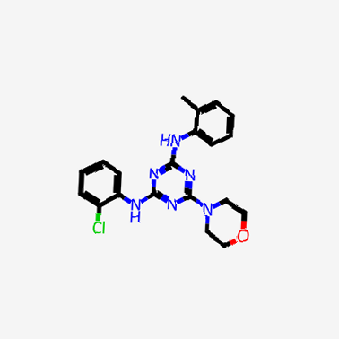 Cc1ccccc1Nc1nc(Nc2ccccc2Cl)nc(N2CCOCC2)n1